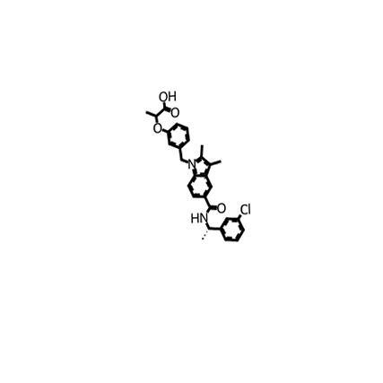 Cc1c(C)n(Cc2cccc(OC(C)C(=O)O)c2)c2ccc(C(=O)N[C@@H](C)c3cccc(Cl)c3)cc12